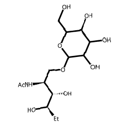 CC[C@@H](O)[C@@H](O)[C@H](COC1OC(CO)C(O)C(O)C1O)NC(C)=O